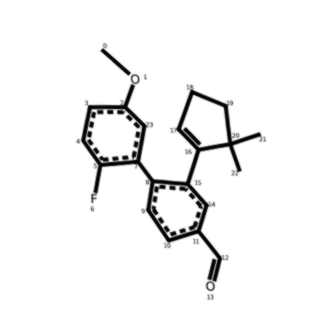 COc1ccc(F)c(-c2ccc(C=O)cc2C2=CCCC2(C)C)c1